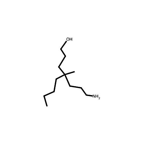 CCCCC(C)(CCCN)CCCO